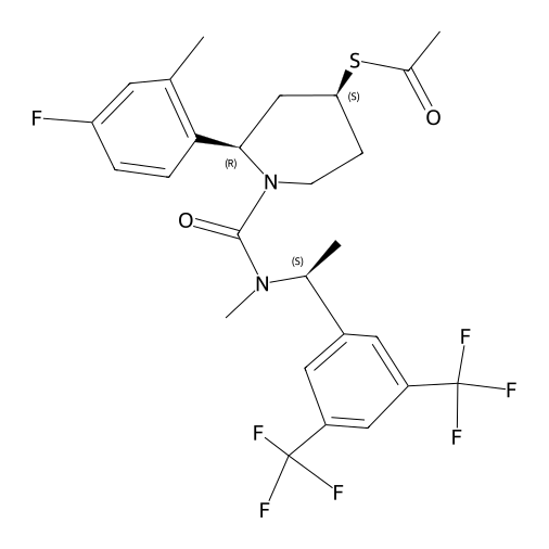 CC(=O)S[C@H]1CCN(C(=O)N(C)[C@@H](C)c2cc(C(F)(F)F)cc(C(F)(F)F)c2)[C@@H](c2ccc(F)cc2C)C1